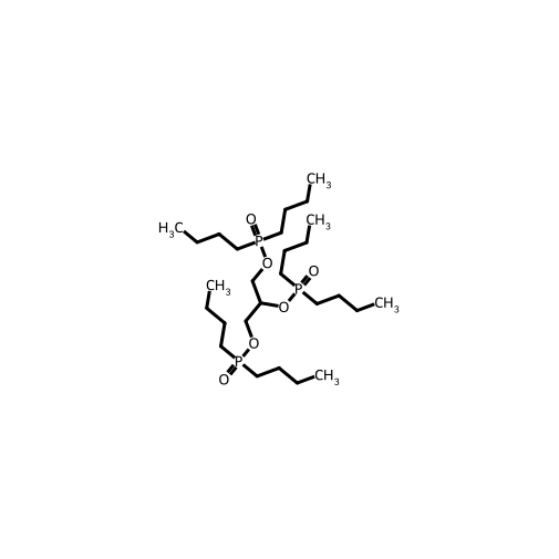 CCCCP(=O)(CCCC)OCC(COP(=O)(CCCC)CCCC)OP(=O)(CCCC)CCCC